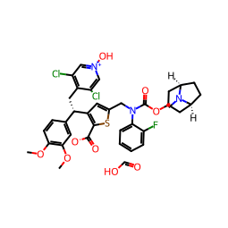 COc1ccc([C@H](Cc2c(Cl)c[n+](O)cc2Cl)c2cc(CN(C(=O)OC3C[C@H]4CC[C@@H](C3)N4C)c3ccccc3F)sc2C(=O)[O-])cc1OC.O=CO